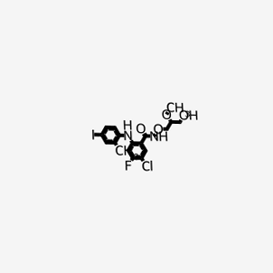 COC(CO)CONC(=O)c1cc(Cl)c(F)cc1Nc1ccc(I)cc1C